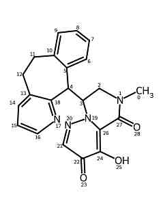 CN1CC(C2c3ccccc3CCc3cccnc32)n2ncc(=O)c(O)c2C1=O